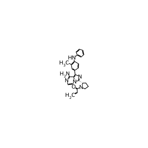 C=CC(=O)N1CCC[C@H]1c1nc(-c2ccc(Nc3ccccc3)c(C)c2)c2c(N)nccn12